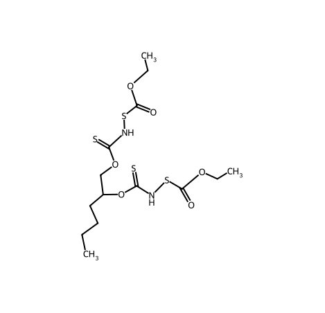 CCCCC(COC(=S)NSC(=O)OCC)OC(=S)NSC(=O)OCC